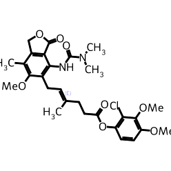 COc1ccc(OC(=O)CC/C(C)=C/Cc2c(NC(=O)N(C)C)c3c(c(C)c2OC)COC3=O)c(Cl)c1OC